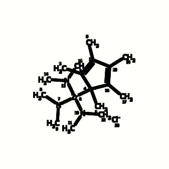 CC1=C(C)[C](C)([Zr]([N](C)C)([N](C)C)[N](C)C)C(C)=C1C.[Cl-]